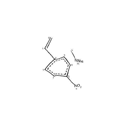 C=Cc1ccc([N+](=O)[O-])cc1.CNC